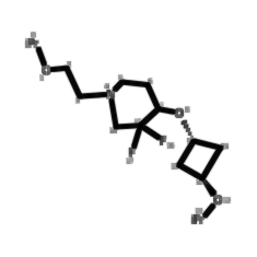 CC(C)OCCN1CCC(O[C@H]2C[C@H](OC(C)C)C2)C(F)(F)C1